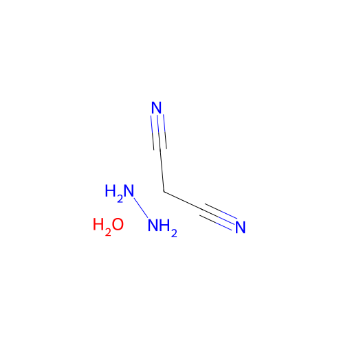 N#CCC#N.NN.O